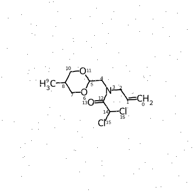 C=CCN(CC1OCC(C)CO1)C(=O)C(Cl)Cl